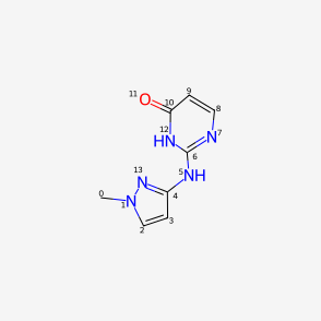 Cn1ccc(Nc2nccc(=O)[nH]2)n1